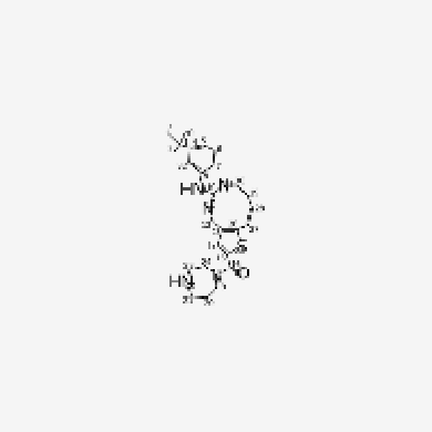 CC(C)(C)c1cccc(NC2=N/Cc3cc(C(=O)N4CCCNCC4)sc3/C=C\C/C=N\2)c1